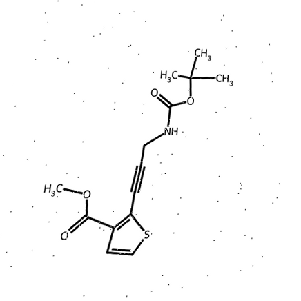 COC(=O)c1ccsc1C#CCNC(=O)OC(C)(C)C